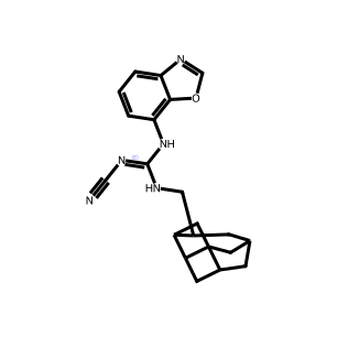 N#C/N=C(\NCC1CC2CC3CC4C1CC34C2)Nc1cccc2ncoc12